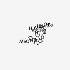 COc1cccc(C(=O)[C@H]2CN(C(=O)C(C)(C)CCNC(=O)OC(C)(C)C)C[C@@H](C(=O)c3cccc(OC)c3)[C@@H]2c2cccc(F)c2C)c1